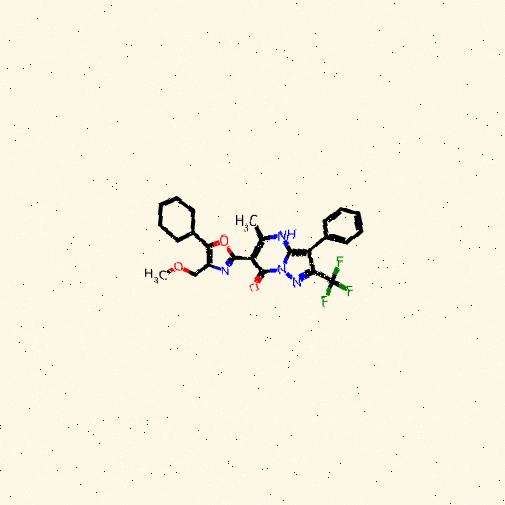 COCc1nc(-c2c(C)[nH]c3c(-c4ccccc4)c(C(F)(F)F)nn3c2=O)oc1C1CCCCC1